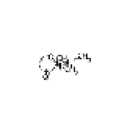 C=CCCCC(=O)N[C@@H](C=C)C[C@@]1(C)CC2=C(C=C)[C@@H]1CCN(C=O)CCCC/C=C\CCO2